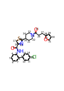 O=C(Nc1ccccc1-c1ccc(Cl)cc1)c1csc(C2CCN(C(=O)CCc3ccco3)CC2)n1